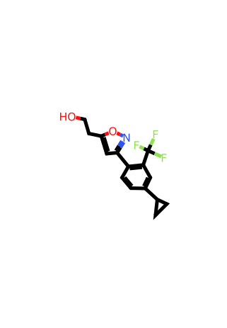 OCCc1cc(-c2ccc(C3CC3)cc2C(F)(F)F)no1